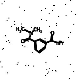 CCCC(=O)c1cccc(C(=O)N(C)C)c1